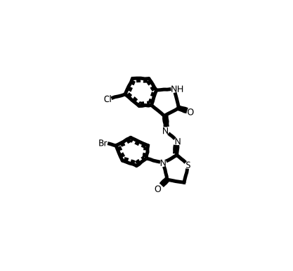 O=C1Nc2ccc(Cl)cc2C1=NN=C1SCC(=O)N1c1ccc(Br)cc1